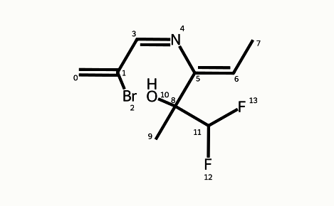 C=C(Br)/C=N\C(=C/C)C(C)(O)C(F)F